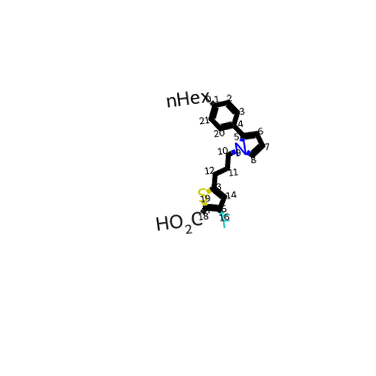 CCCCCCc1ccc(-c2cccn2CCCc2cc(F)c(C(=O)O)s2)cc1